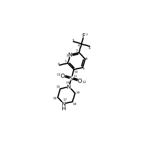 Cc1nc(C(C)(C)F)ccc1S(=O)(=O)N1CCNCC1